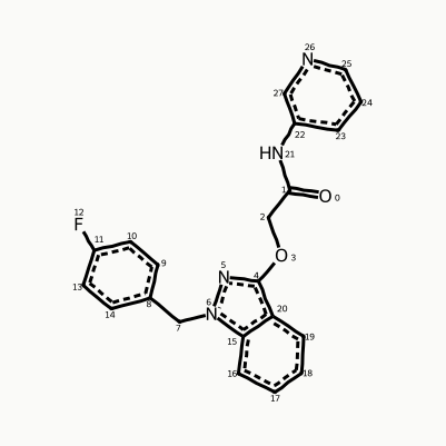 O=C(COc1nn(Cc2ccc(F)cc2)c2ccccc12)Nc1cccnc1